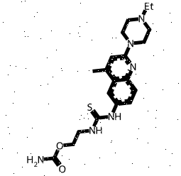 CCN1CCN(c2cc(C)c3cc(NC(=S)NCCOC(N)=O)ccc3n2)CC1